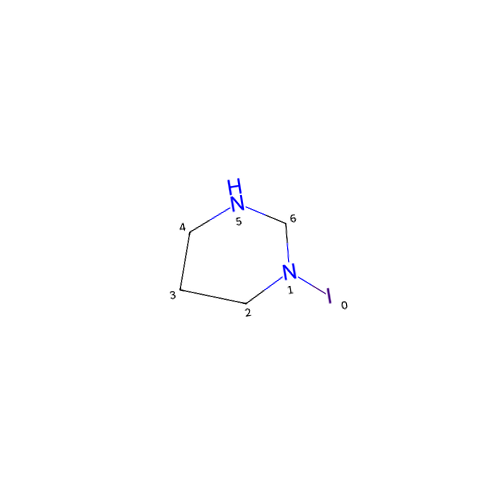 IN1CCCNC1